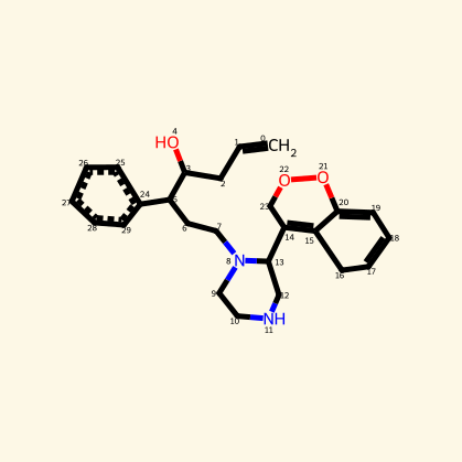 C=CCC(O)C(CCN1CCNCC1C1=C2CC=CC=C2OOC1)c1ccccc1